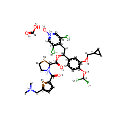 CN(C)Cc1ccc(C(=O)N2CCSC2C(=O)OC(Cc2c(Cl)c[n+]([O-])cc2Cl)c2ccc(OC(F)F)c(OCC3CC3)c2)s1.O=CO